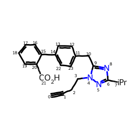 C#CCCn1nc(C(C)C)nc1Cc1ccc(-c2ccccc2C(=O)O)cc1